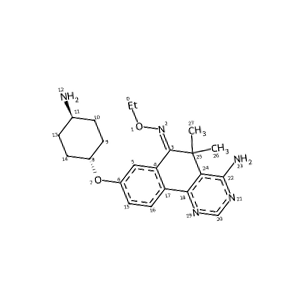 CCO/N=C1\c2cc(O[C@H]3CC[C@H](N)CC3)ccc2-c2ncnc(N)c2C1(C)C